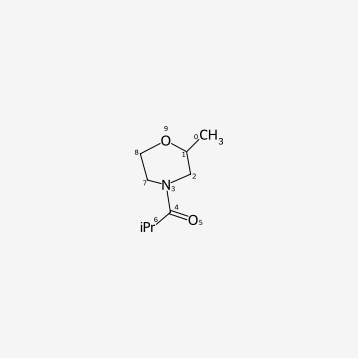 CC1CN(C(=O)C(C)C)CCO1